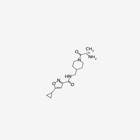 C[C@H](N)C(=O)N1CCC(CNC(=O)c2cc(C3CC3)on2)CC1